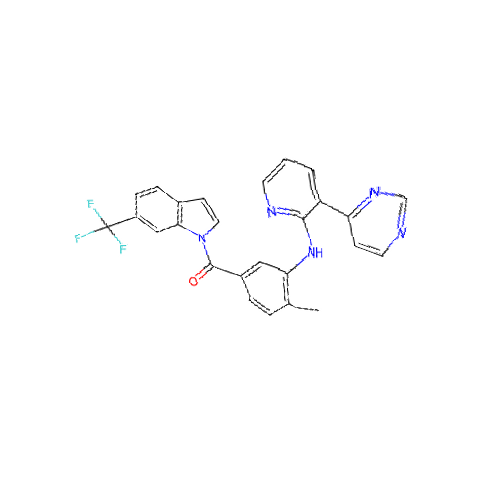 Cc1ccc(C(=O)n2ccc3ccc(C(F)(F)F)cc32)cc1Nc1ncccc1-c1ccncn1